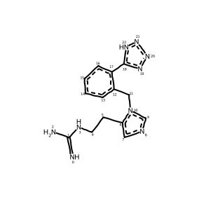 N=C(N)NCCc1cncn1Cc1ccccc1-c1nnn[nH]1